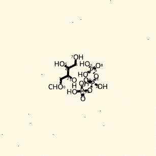 O=CCC(O)C(O)CO.O=P(O)(O)OP(=O)(O)OP(=O)(O)O